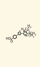 CC1(C)CC(C)(C)c2nc(-c3cc(-c4ccc(C(=O)O)cc4)cs3)cnc21